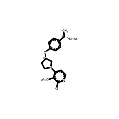 COc1c(N2CC[C@@H](Oc3ccc([C@H](C)NC(C)=O)cc3)C2)ccnc1Cl